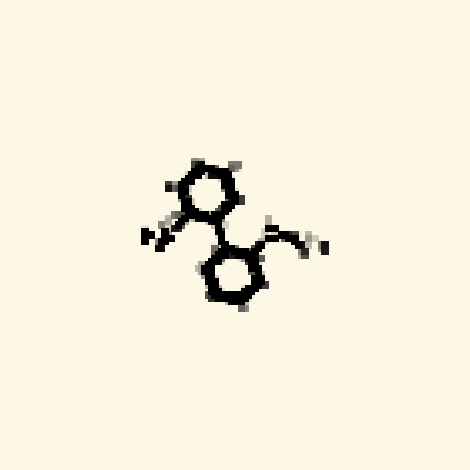 COc1ccccc1-c1cc[c]cc1N